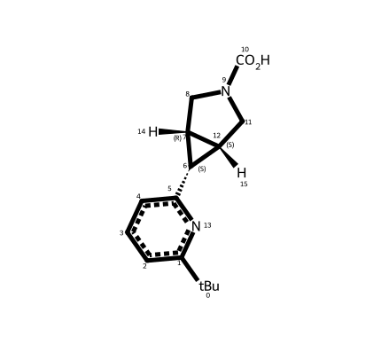 CC(C)(C)c1cccc([C@@H]2[C@@H]3CN(C(=O)O)C[C@@H]32)n1